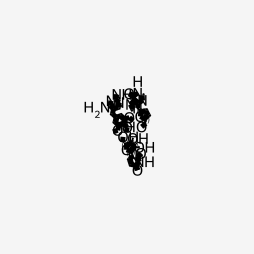 COc1cc(Cc2cnc(N)nc2N)cc(OC)c1OC.O=c1[nH]cnc2c1ncn2[C@H]1CC[C@@H](CO)O1.O=c1ccn([C@@H]2O[C@H](CO)[C@@H](O)[C@H]2O)c(=O)[nH]1